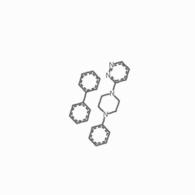 c1ccc(-c2ccccc2)cc1.c1ccc(N2CCN(c3cccnn3)CC2)cc1